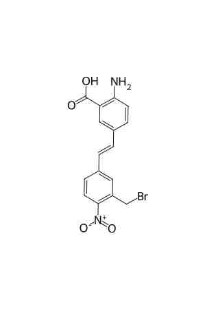 Nc1ccc(/C=C/c2ccc([N+](=O)[O-])c(CBr)c2)cc1C(=O)O